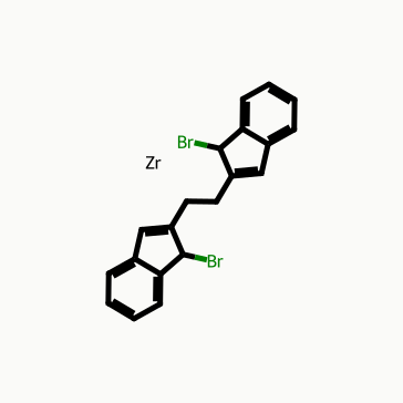 BrC1C(CCC2=Cc3ccccc3C2Br)=Cc2ccccc21.[Zr]